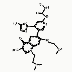 CCNC(=O)Nc1cc(-c2nc(C(F)(F)F)cs2)c(-c2cc3c(=O)c(C=O)cn(CCN(C)C)c3cc2NCCN(C)C)cn1